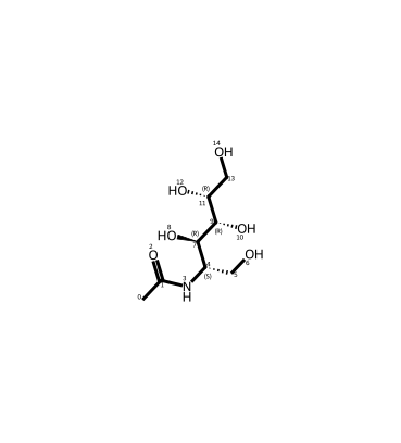 CC(=O)N[C@@H](CO)[C@@H](O)[C@@H](O)[C@H](O)CO